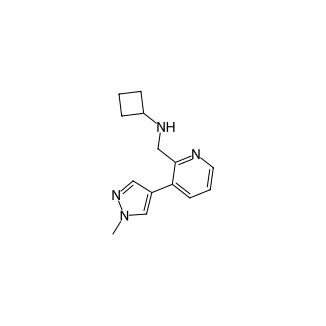 Cn1cc(-c2cccnc2CNC2CCC2)cn1